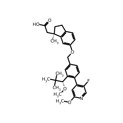 COc1cc(-c2ccc(COc3ccc4c(c3)[C@@](C)(CC(=O)O)CC4)cc2[C@H](OC)C(C)(C)C)c(F)cn1